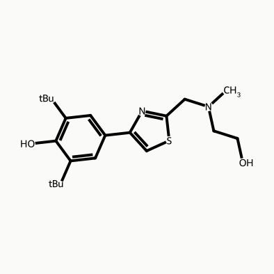 CN(CCO)Cc1nc(-c2cc(C(C)(C)C)c(O)c(C(C)(C)C)c2)cs1